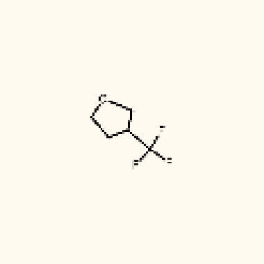 FC(F)(F)C1[CH]OCC1